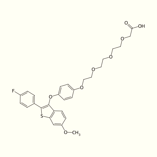 COc1ccc2c(Oc3ccc(OCCOCCOCCOCC(=O)O)cc3)c(-c3ccc(F)cc3)sc2c1